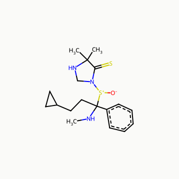 CNC(CCC1CC1)(c1ccccc1)[S+]([O-])N1CNC(C)(C)C1=S